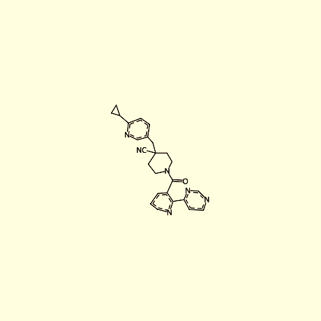 N#CC1(Cc2ccc(C3CC3)nc2)CCN(C(=O)c2cccnc2-c2ccncn2)CC1